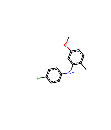 COc1ccc(C)c(Nc2ccc(F)cc2)c1